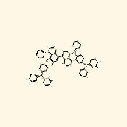 Cc1cc(-c2ccc(N(c3ccccc3)c3ccc(N(c4ccccc4)c4ccccc4)cc3)c3ccccc23)c2ccccc2c1N(c1ccc(C(c2ccccc2)c2ccccc2)cc1)C1C=CC=CC1